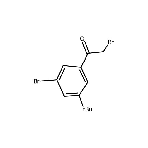 CC(C)(C)c1cc(Br)cc(C(=O)CBr)c1